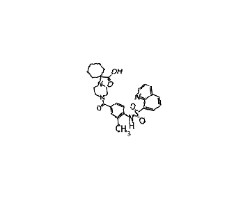 Cc1cc(C(=O)N2CCN(C3(C(=O)O)CCCCC3)CC2)ccc1NS(=O)(=O)c1cccc2cccnc12